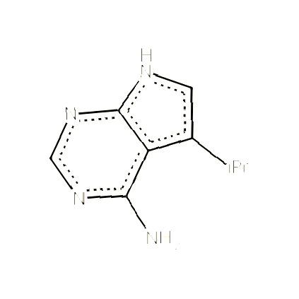 CC(C)c1c[nH]c2ncnc(N)c12